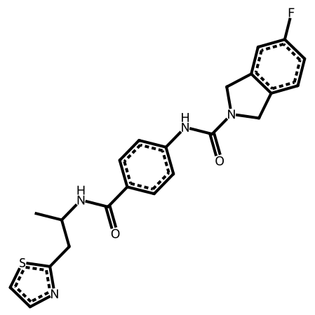 CC(Cc1nccs1)NC(=O)c1ccc(NC(=O)N2Cc3ccc(F)cc3C2)cc1